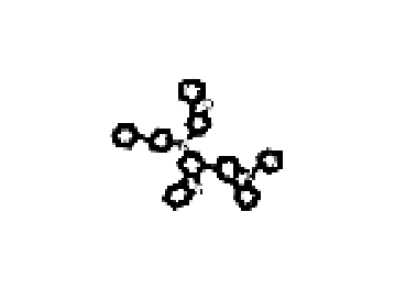 c1ccc(-c2ccc(N(c3ccc4oc5ccccc5c4c3)c3cc(-c4ccc5c(c4)c4ccccc4n5-c4ccccc4)c4sc5ccccc5c4c3)cc2)cc1